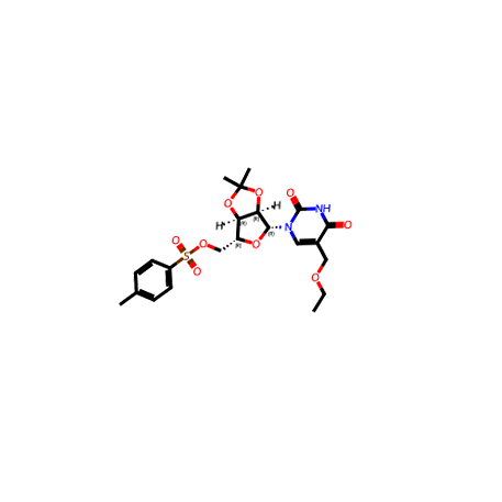 CCOCc1cn([C@@H]2O[C@H](COS(=O)(=O)c3ccc(C)cc3)[C@H]3OC(C)(C)O[C@H]32)c(=O)[nH]c1=O